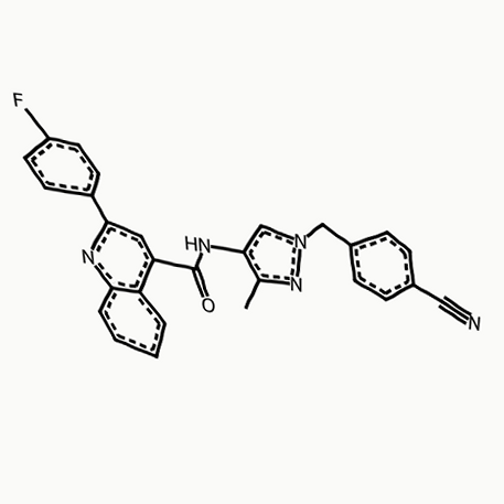 Cc1nn(Cc2ccc(C#N)cc2)cc1NC(=O)c1cc(-c2ccc(F)cc2)nc2ccccc12